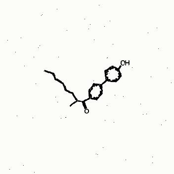 CCCCCCC(C)C(=O)c1ccc(-c2ccc(O)cc2)cc1